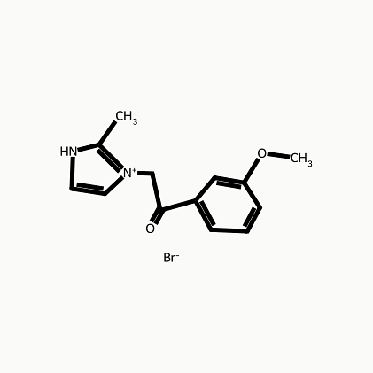 COc1cccc(C(=O)C[n+]2cc[nH]c2C)c1.[Br-]